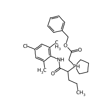 CCCC(C(=O)Nc1c(C)cc(Cl)cc1C)[PH]1(CC(=O)OCc2ccccc2)CCCC1